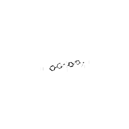 Cc1ccc(C2CCN(C(=O)Nc3ccc(N4CCC(N(C)C)C4)cc3)CC2)cc1